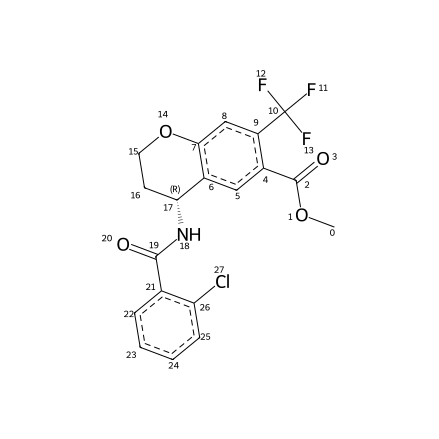 COC(=O)c1cc2c(cc1C(F)(F)F)OCC[C@H]2NC(=O)c1ccccc1Cl